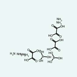 N.N.N.N.N.N.O=C(O)C(=O)O.O=C(O)C(=O)O.O=C(O)C(=O)O.OB(O)O.OB(O)O